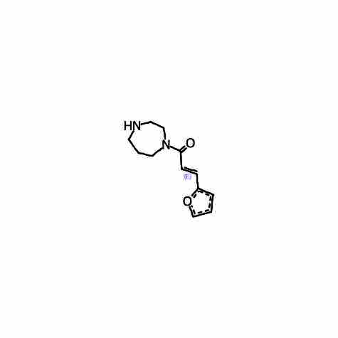 O=C(/C=C/c1ccco1)N1CCCNCC1